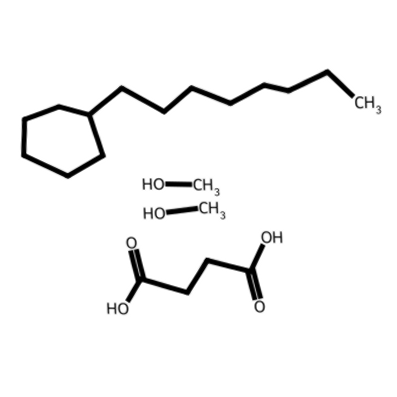 CCCCCCCCC1CCCCC1.CO.CO.O=C(O)CCC(=O)O